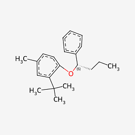 CCC[C@H](Oc1ccc(C)cc1C(C)(C)C)c1ccccc1